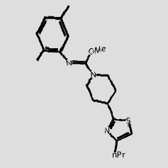 CCCc1csc(C2CCN(/C(=N/c3cc(C)ccc3C)OC)CC2)n1